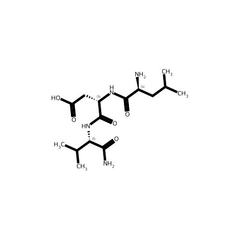 CC(C)C[C@H](N)C(=O)N[C@@H](CC(=O)O)C(=O)N[C@H](C(N)=O)C(C)C